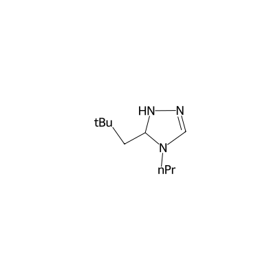 CCCN1C=NNC1CC(C)(C)C